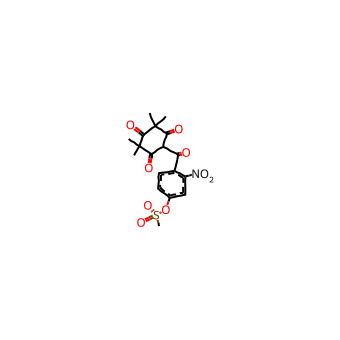 CC1(C)C(=O)C(C(=O)c2ccc(OS(C)(=O)=O)cc2[N+](=O)[O-])C(=O)C(C)(C)C1=O